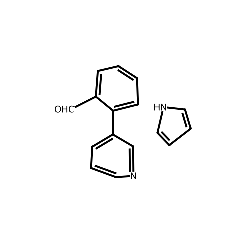 O=Cc1ccccc1-c1cccnc1.c1cc[nH]c1